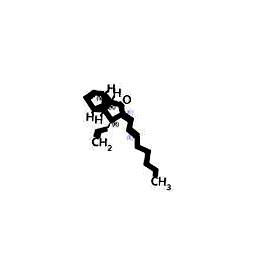 C=CC[C@H]1/C(=C\C=C\CCCCC)C(=O)[C@H]2[C@@H]1[C@H]1C=C[C@@H]2C1